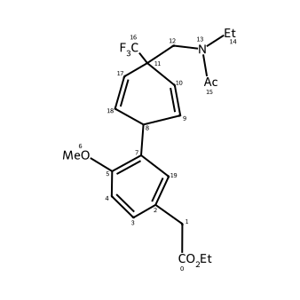 CCOC(=O)Cc1ccc(OC)c(C2C=CC(CN(CC)C(C)=O)(C(F)(F)F)C=C2)c1